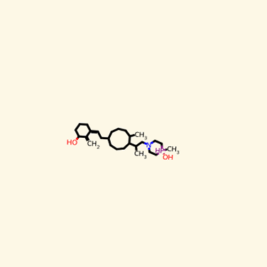 C=C1/C(=C\CC2CCCC(C)C(C(C)CN3CC[PH](C)(O)CC3)CCC2)CCCC1O